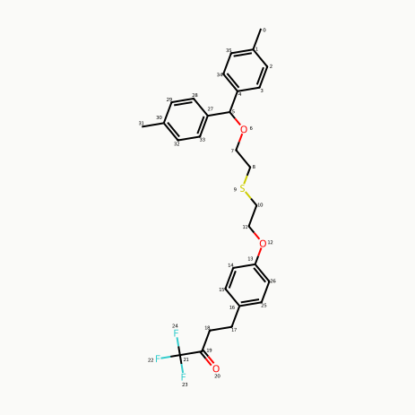 Cc1ccc(C(OCCSCCOc2ccc(CCC(=O)C(F)(F)F)cc2)c2ccc(C)cc2)cc1